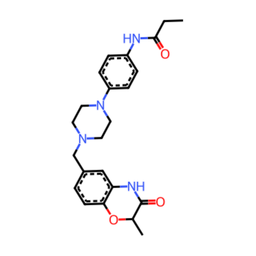 CCC(=O)Nc1ccc(N2CCN(Cc3ccc4c(c3)NC(=O)C(C)O4)CC2)cc1